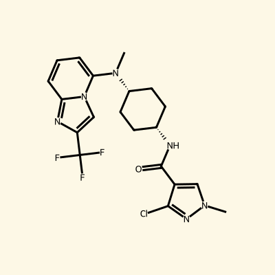 Cn1cc(C(=O)N[C@H]2CC[C@@H](N(C)c3cccc4nc(C(F)(F)F)cn34)CC2)c(Cl)n1